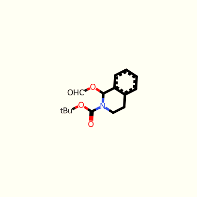 CC(C)(C)OC(=O)N1CCc2ccccc2C1OC=O